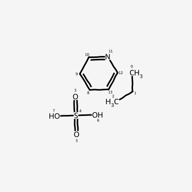 CCC.O=S(=O)(O)O.c1ccncc1